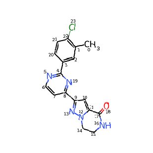 Cc1cc(-c2nccc(-c3cc4n(n3)CCNC4=O)n2)ccc1Cl